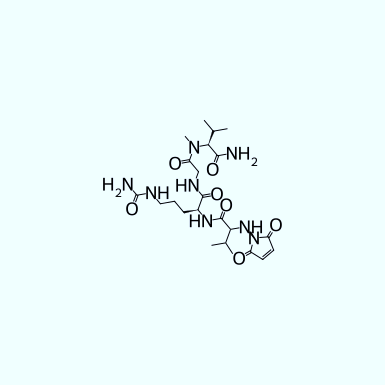 CC(C)C(NN1C(=O)C=CC1=O)C(=O)N[C@@H](CCCNC(N)=O)C(=O)NCC(=O)N(C)[C@H](C(N)=O)C(C)C